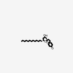 CCCCCCCCCCCCC[C@@H]1C[C@@H](O)C[C@]2(CCC3(C=CC(=O)C=C3)O2)O1